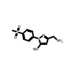 CC(C)(C)c1cc(CN)nn1-c1ccc(S(C)(=O)=O)cc1